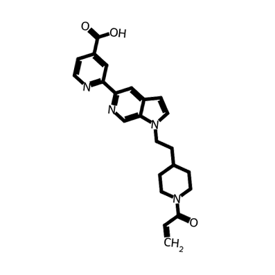 C=CC(=O)N1CCC(CCn2ccc3cc(-c4cc(C(=O)O)ccn4)ncc32)CC1